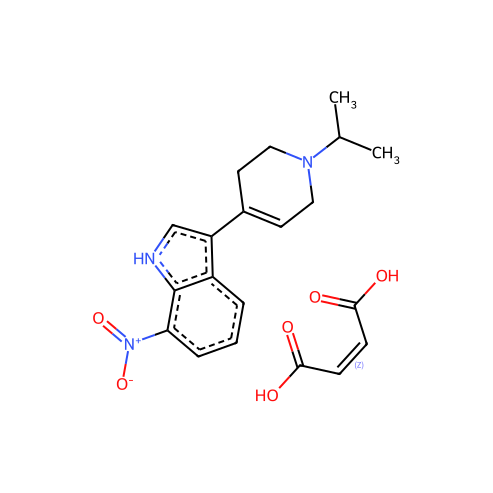 CC(C)N1CC=C(c2c[nH]c3c([N+](=O)[O-])cccc23)CC1.O=C(O)/C=C\C(=O)O